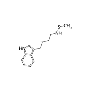 CSNCC[CH]Cc1c[nH]c2ccccc12